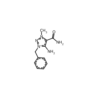 Cn1n[n+](Cc2ccccc2)c(N)c1C(N)=O